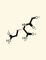 [O]CC(=O)N[C@@H](CCC(=O)O)C(=O)O